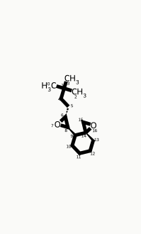 CC(C)(C)CC[C@H]1O[C@@H]1C1CCCC[C@]12CO2